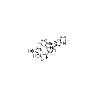 O=C(O)C=C(F)c1ccccc1.O=C(O)C=Cc1cccc(Br)c1.O=C(O)Cc1ccccn1